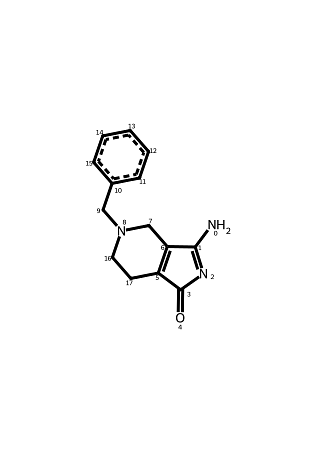 NC1=NC(=O)C2=C1CN(Cc1ccccc1)CC2